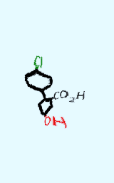 O=C(O)c1cc(O)ccc1-c1ccc(Cl)cc1